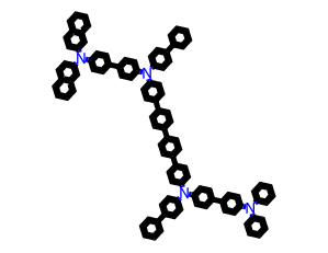 c1ccc(-c2ccc(N(c3ccc(-c4ccc(-c5ccc(-c6ccc(N(c7ccc(-c8ccccc8)cc7)c7ccc(-c8ccc(N(c9ccc%10ccccc%10c9)c9ccc%10ccccc%10c9)cc8)cc7)cc6)cc5)cc4)cc3)c3ccc(-c4ccc(N(c5ccccc5)c5ccccc5)cc4)cc3)cc2)cc1